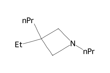 CCCN1CC(CC)(CCC)C1